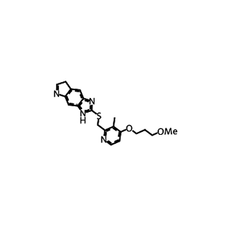 COCCCOc1ccnc(CSc2nc3cc4c(cc3[nH]2)N=CC4)c1C